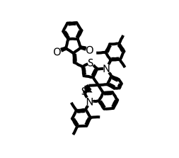 Cc1cc(C)c(N2c3ccccc3C3(c4ccccc4N(c4c(C)cc(C)cc4C)c4sc(C=C5C(=O)c6ccccc6C5=O)cc43)c3ccsc32)c(C)c1